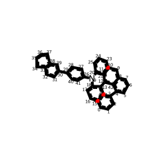 c1ccc(-c2cccc3cccc(-c4ccccc4N(c4ccccc4)c4ccc(-c5ccc6ccccc6c5)cc4)c23)cc1